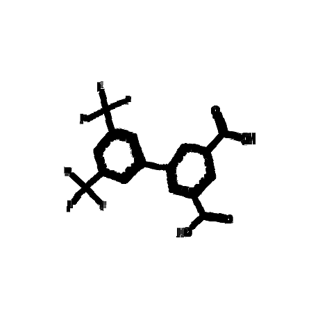 O=C(O)c1cc(C(=O)O)cc(-c2cc(C(F)(F)F)cc(C(F)(F)F)c2)c1